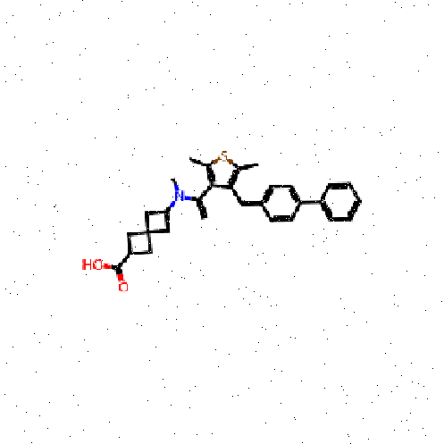 C=C(c1c(C)sc(C)c1Cc1ccc(-c2ccccc2)cc1)N(C)C1CC2(CC(C(=O)O)C2)C1